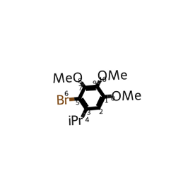 COc1cc(C(C)C)c(Br)c(OC)c1OC